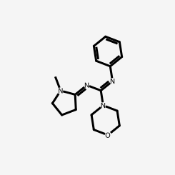 CN1CCCC1=NC(=Nc1ccccc1)N1CCOCC1